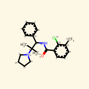 CC(C)(C(NC(=O)c1cccc(C(F)(F)F)c1Cl)c1ccccc1)N1CCCC1